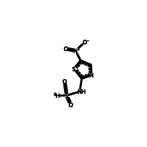 [3H]S(=O)(=O)Nc1ncc([N+](=O)[O-])s1